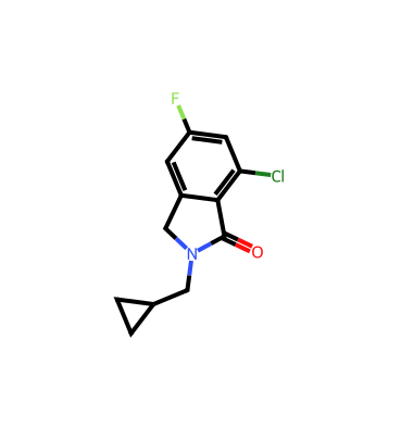 O=C1c2c(Cl)cc(F)cc2CN1CC1CC1